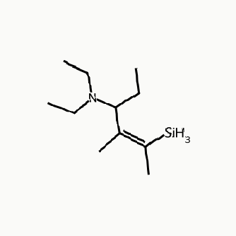 CCC(C(C)=C(C)[SiH3])N(CC)CC